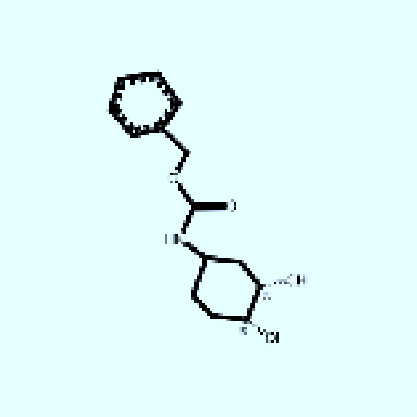 O=C(NC1CC[C@@H](O)[C@@H](O)C1)OCc1ccccc1